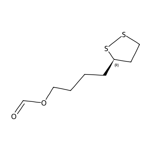 O=COCCCC[C@@H]1CCSS1